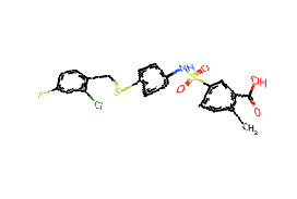 Cc1ccc(S(=O)(=O)Nc2ccc(SCc3ccc(F)cc3Cl)cc2)cc1C(=O)O